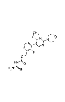 COc1nc(N2CCOCC2)ncc1-c1cccc(COC(=O)NC(=N)N)c1F